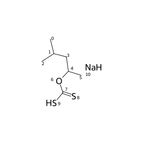 CC(C)CC(C)OC(=S)S.[NaH]